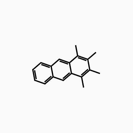 Cc1c(C)c(C)c2cc3ccccc3cc2c1C